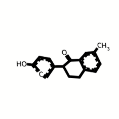 Cc1ccc2c(c1)C(=O)C(c1ccc(O)cc1)CC2